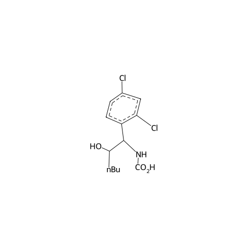 CCCCC(O)C(NC(=O)O)c1ccc(Cl)cc1Cl